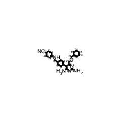 N#Cc1ccc(NCc2ccc(-c3c(N)nc(N)nc3COCc3ccccc3)cc2)nc1